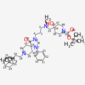 CN(CCCN1CN(c2ccccc2)C2(CCN(CCC3CCC4CC3C4(C)C)CC2)C1=O)CC1(O)CCN(C(=O)OC(C)(C)C)CC1